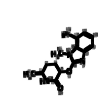 C=C1CCC(Oc2nc3cccc(C(C)C)c3n2C)C(=O)N1